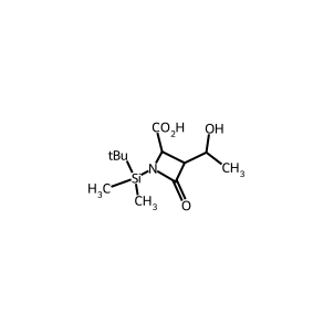 CC(O)C1C(=O)N([Si](C)(C)C(C)(C)C)C1C(=O)O